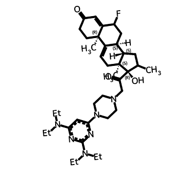 CCN(CC)c1cc(N2CCN(CC(=O)[C@@]3(O)C(C)C[C@H]4[C@@H]5CC(F)C6=CC(=O)CC[C@]6(C)C5=CC[C@@]43C)CC2)nc(N(CC)CC)n1